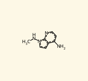 CNn1ccc2c(N)ccnc21